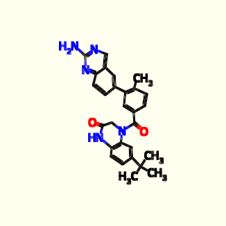 Cc1ccc(C(=O)N2CC(=O)Nc3ccc(C(C)(C)C)cc32)cc1-c1ccc2nc(N)ncc2c1